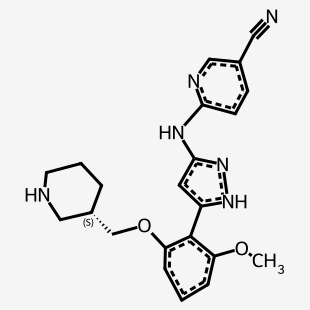 COc1cccc(OC[C@H]2CCCNC2)c1-c1cc(Nc2ccc(C#N)cn2)n[nH]1